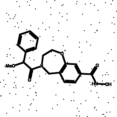 COC(C(=O)N1CCOc2cc(C(=O)NO)ccc2C1)c1ccccc1